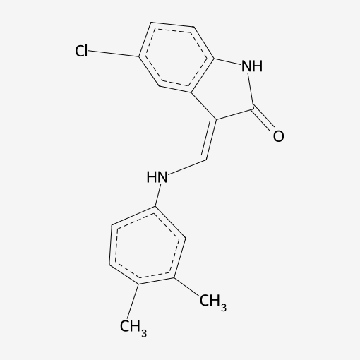 Cc1ccc(N/C=C2/C(=O)Nc3ccc(Cl)cc32)cc1C